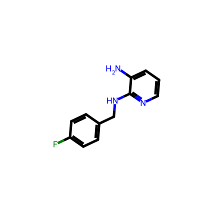 Nc1cccnc1NCc1ccc(F)cc1